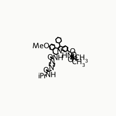 COc1ccc2c(c1)CC(NC(=O)N1CCN(CC(=O)NC(C)C)CC1)Cn1c-2c(C2CCCCC2)c2ccc(C(=O)NS(=O)(=O)N(C)C)cc21